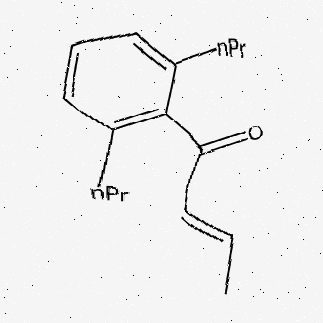 C/C=C/C(=O)c1c(CCC)cccc1CCC